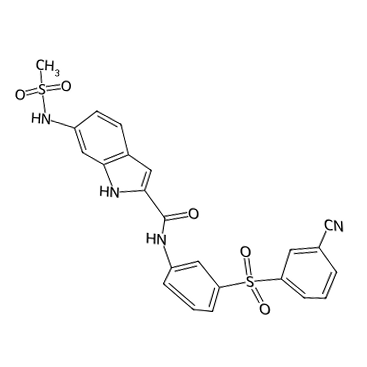 CS(=O)(=O)Nc1ccc2cc(C(=O)Nc3cccc(S(=O)(=O)c4cccc(C#N)c4)c3)[nH]c2c1